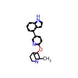 CC1C(Oc2ccc(-c3cccc4[nH]ccc34)cn2)C2CCN1CC2